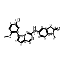 COc1ccc(Cl)cc1-c1ccc2cnc(Nc3ccc4c(c3)CC(=O)N4C)nn12